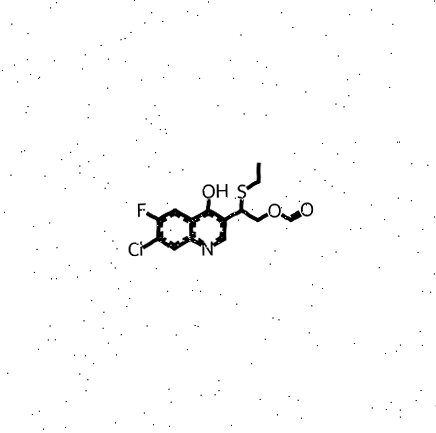 CCSC(COC=O)c1cnc2cc(Cl)c(F)cc2c1O